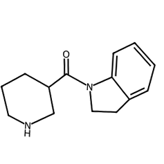 O=C(C1CCCNC1)N1CCc2ccccc21